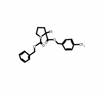 CCC1(C(=O)OCc2ccc(C(F)(F)F)cc2)CCCN1C(=O)OCc1ccccc1